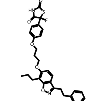 CCCc1c(OCCCOc2ccc(C3(F)SC(=O)NC3=O)cc2)ccc2c(CCc3ccccc3)noc12